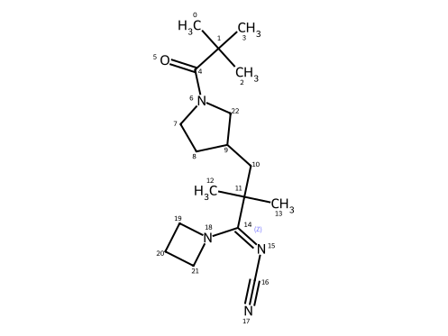 CC(C)(C)C(=O)N1CCC(CC(C)(C)/C(=N/C#N)N2CCC2)C1